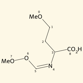 COCCC(/N=C\OOC)C(=O)O